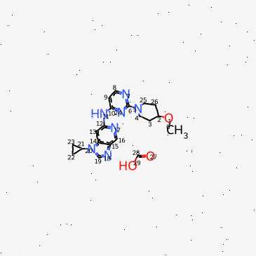 COC1CCN(c2nccc(Nc3cc4c(cn3)ncn4C3CC3)n2)CC1.O=CO